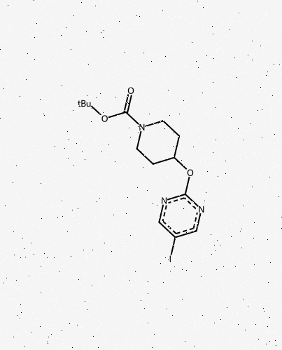 CC(C)(C)OC(=O)N1CCC(Oc2ncc(I)cn2)CC1